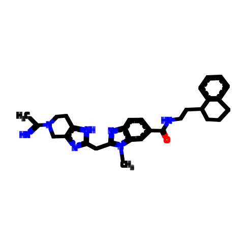 CC(=N)N1CCc2[nH]c(Cc3nc4ccc(C(=O)NCCC5CCCc6ccccc65)cc4n3C)nc2C1